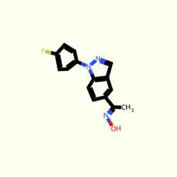 C/C(=N\O)c1ccc2c(cnn2-c2ccc(F)cc2)c1